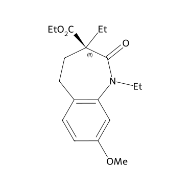 CCOC(=O)[C@]1(CC)CCc2ccc(OC)cc2N(CC)C1=O